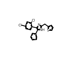 Clc1ccc(-c2nc(Cc3cccs3)[nH]c2-c2ccccc2)c(Cl)c1